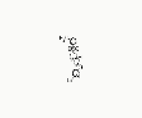 O=S(=O)(c1cccc(C(F)(F)F)c1)N1CCN2C[C@@H](Oc3ccc(Br)nc3)C[C@H]2C1